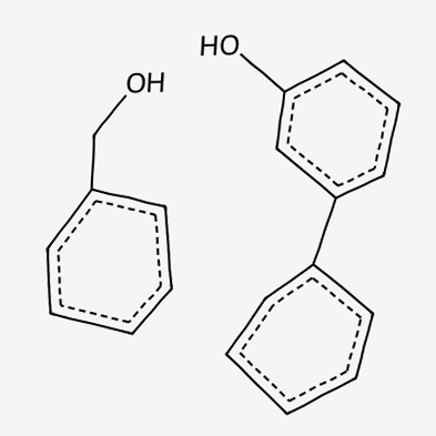 OCc1ccccc1.Oc1cccc(-c2ccccc2)c1